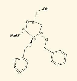 CO[C@@H]1O[C@H](CO)C[C@H](OCc2ccccc2)[C@H]1OCc1ccccc1